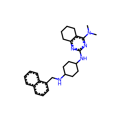 CN(C)c1nc(NC2CCC(NCc3cccc4ccccc34)CC2)nc2c1CCCC2